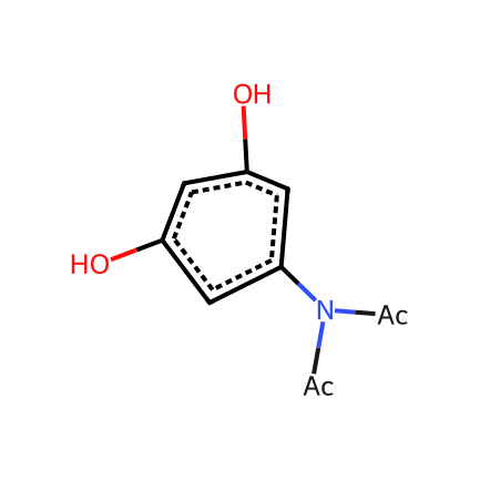 CC(=O)N(C(C)=O)c1cc(O)cc(O)c1